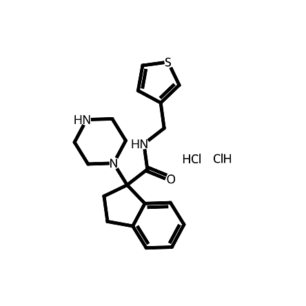 Cl.Cl.O=C(NCc1ccsc1)C1(N2CCNCC2)CCc2ccccc21